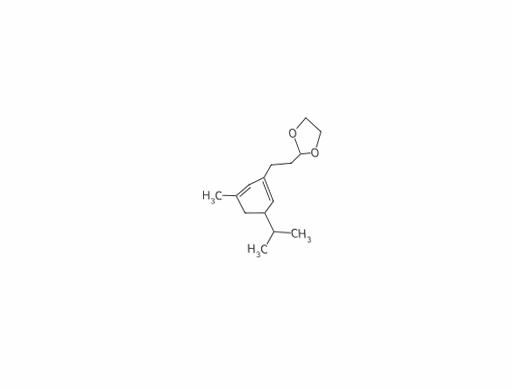 CC1=CC(CCC2OCCO2)=CC(C(C)C)C1